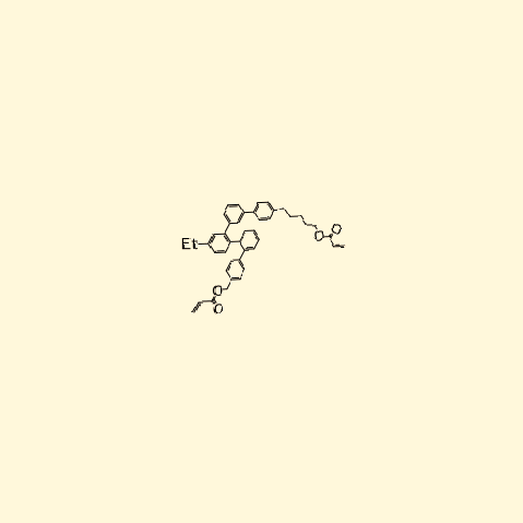 C=CC(=O)OCCCCCc1ccc(-c2cccc(-c3cc(CC)ccc3-c3ccccc3-c3ccc(COC(=O)C=C)cc3)c2)cc1